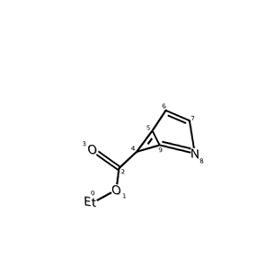 CCOC(=O)c1c2ccnc1-2